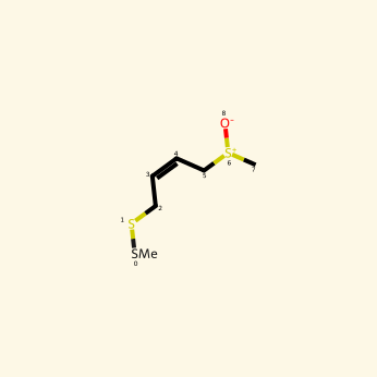 CSSC/C=C\C[S+](C)[O-]